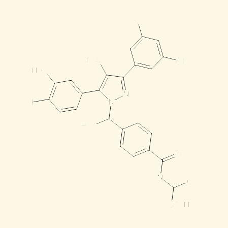 Cc1cc(-c2c(C)c(-c3cc(Cl)cc(Cl)c3)nn2C(C)c2ccc(C(=O)NC(C)S(=O)(=O)O)cc2)ccc1Cl